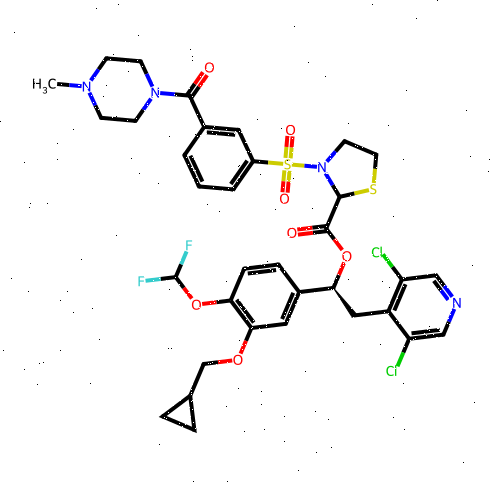 CN1CCN(C(=O)c2cccc(S(=O)(=O)N3CCSC3C(=O)O[C@@H](Cc3c(Cl)cncc3Cl)c3ccc(OC(F)F)c(OCC4CC4)c3)c2)CC1